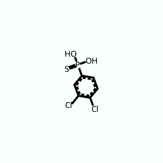 OP(O)(=S)c1ccc(Cl)c(Cl)c1